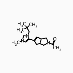 CC(=O)N1CC2C=C(C3=CN(C)CN3CC(C)(C)C)CC2C1